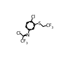 FC(F)(F)CSc1cc(N=C(Cl)C(F)(F)F)ccc1Cl